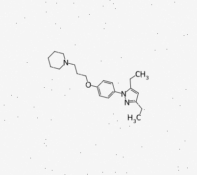 CCc1cc(CC)n(-c2ccc(OCCCN3CCCCC3)cc2)n1